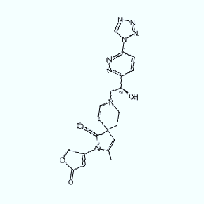 CC1=CC2(CCN(C[C@H](O)c3ccc(-n4cnnn4)nn3)CC2)C(=O)N1C1=CC(=O)OC1